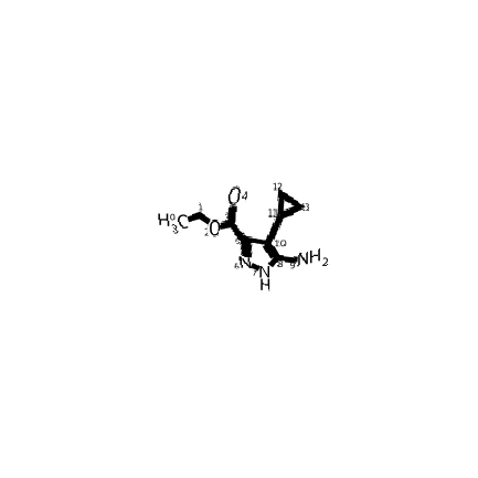 CCOC(=O)c1n[nH]c(N)c1C1CC1